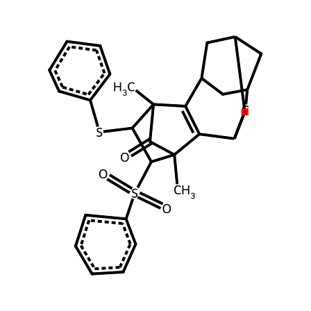 CC12C(=O)C(C)(C3=C1C1CC4CC(C1)CC3C4)C(S(=O)(=O)c1ccccc1)C2Sc1ccccc1